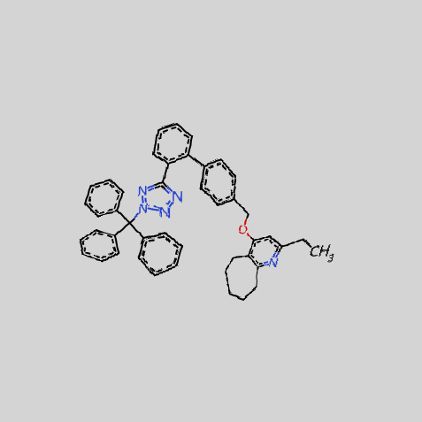 CCc1cc(OCc2ccc(-c3ccccc3-c3nnn(C(c4ccccc4)(c4ccccc4)c4ccccc4)n3)cc2)c2c(n1)CCCCC2